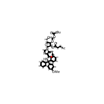 COc1ccc(C(Nc2ncnc3c2ncn3[C@@H]2O[C@H](CO)[C@@H](OCOC(=O)C(C)(C)C)[C@H]2OC(=O)CCC(C)=O)(c2ccccc2)c2ccccc2)cc1